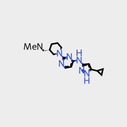 CNC[C@@H]1CCCN(c2nccc(Nc3cc(C4CC4)[nH]n3)n2)C1